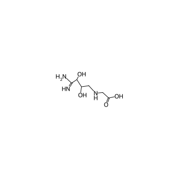 N=C(N)C(O)C(O)CNCC(=O)O